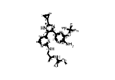 COC(=O)NC(C)CNc1nccc(-c2[nH]c(C3CC3)nc2-c2cnc(N)c(OC(F)(F)F)n2)n1